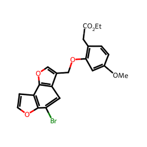 CCOC(=O)Cc1ccc(OC)cc1OCc1coc2c1cc(Br)c1occc12